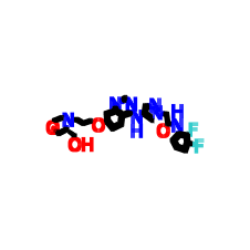 O=C(Cn1cc(Nc2ncnc3cc(OCCCN4CCOC[C@@H]4CO)ccc23)cn1)Nc1cccc(F)c1F